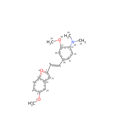 COc1ccc2oc(C=Cc3ccc(N(C)C)c(OC)c3)cc2c1